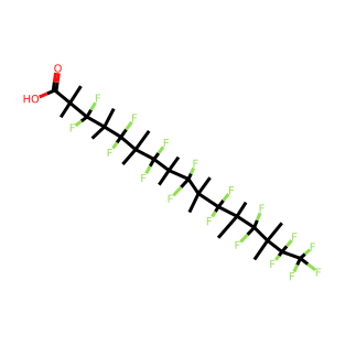 CC(C)(C(=O)O)C(F)(F)C(C)(C)C(F)(F)C(C)(C)C(F)(F)C(C)(C)C(F)(F)C(C)(C)C(F)(F)C(C)(C)C(F)(F)C(C)(C)C(F)(F)C(F)(F)F